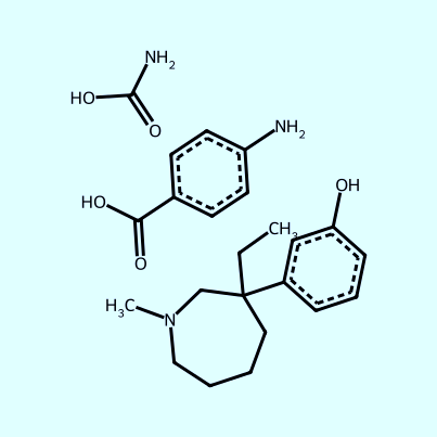 CCC1(c2cccc(O)c2)CCCCN(C)C1.NC(=O)O.Nc1ccc(C(=O)O)cc1